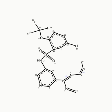 C=N/C(=N\C=C/C)c1cncc(NS(=O)(=O)c2cc(Cl)ccc2OC(F)(F)F)c1